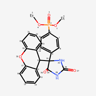 CCOP(=O)(OCC)c1ccc(C2(C3c4ccccc4Oc4ccccc43)NC(=O)NC2=O)cc1